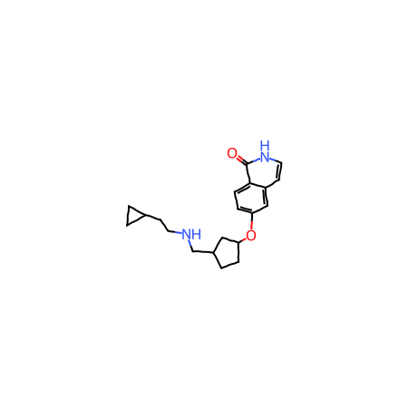 O=c1[nH]ccc2cc(OC3CCC(CNCCC4CC4)C3)ccc12